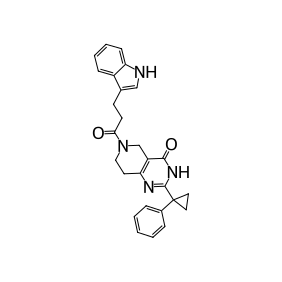 O=C(CCc1c[nH]c2ccccc12)N1CCc2nc(C3(c4ccccc4)CC3)[nH]c(=O)c2C1